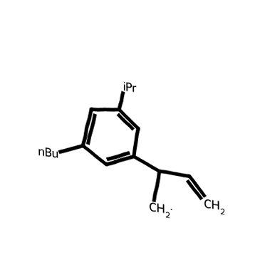 [CH2]C(C=C)c1cc(CCCC)cc(C(C)C)c1